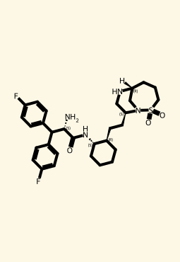 N[C@H](C(=O)N[C@H]1CCCC[C@@H]1CC[C@H]1CN[C@@H]2CCCS(=O)(=O)N1C2)C(c1ccc(F)cc1)c1ccc(F)cc1